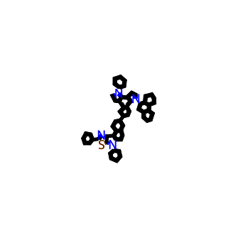 c1ccc(C2=NC3c4c(ccc5cc(-c6ccc7c(c6)c6ccn(-c8ccccc8)c6c6ccn(-c8cc9ccccc9c9ccccc89)c76)ccc45)N(c4ccccc4)C3S2)cc1